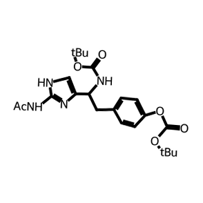 CC(=O)Nc1nc(C(Cc2ccc(OC(=O)OC(C)(C)C)cc2)NC(=O)OC(C)(C)C)c[nH]1